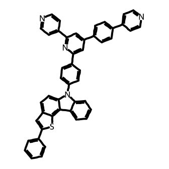 c1ccc(-c2cc3ccc4c(c5ccccc5n4-c4ccc(-c5cc(-c6ccc(-c7ccncc7)cc6)cc(-c6ccncc6)n5)cc4)c3s2)cc1